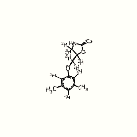 [2H]c1c(C)c([2H])c(OC([2H])([2H])C2([2H])OC(=O)NC2([2H])[2H])c([2H])c1C